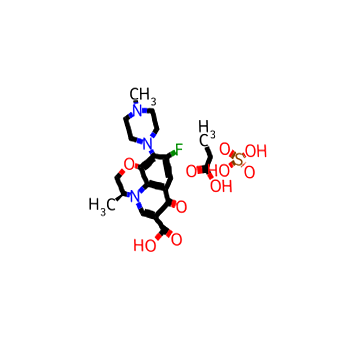 CCC(=O)O.C[C@H]1COc2c(N3CCN(C)CC3)c(F)cc3c(=O)c(C(=O)O)cn1c23.O=S(=O)(O)O